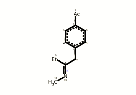 CC/C(Cc1ccc(C(C)=O)cc1)=N\C